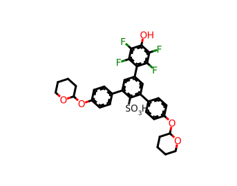 O=S(=O)(O)c1c(-c2ccc(OC3CCCCO3)cc2)cc(-c2c(F)c(F)c(O)c(F)c2F)cc1-c1ccc(OC2CCCCO2)cc1